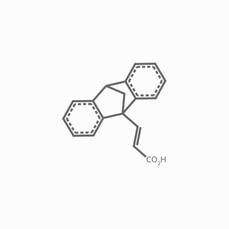 O=C(O)C=CC12CC(c3ccccc31)c1ccccc12